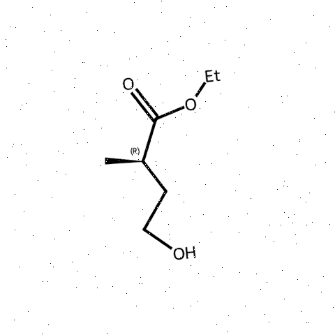 CCOC(=O)[C@H](C)CCO